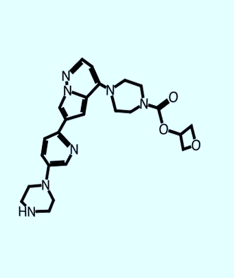 O=C(OC1COC1)N1CCN(c2ccnn3cc(-c4ccc(N5CCNCC5)cn4)cc23)CC1